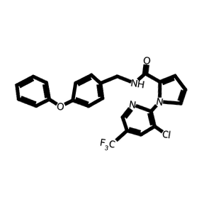 O=C(NCc1ccc(Oc2ccccc2)cc1)c1cccn1-c1ncc(C(F)(F)F)cc1Cl